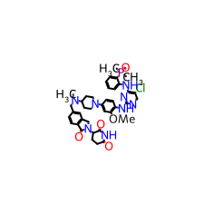 COc1cc(N2CCC(N(C)Cc3ccc4c(c3)CN(C3CCC(=O)NC3=O)C4=O)CC2)ccc1Nc1ncc(Cl)c(Nc2ccccc2P(C)(C)=O)n1